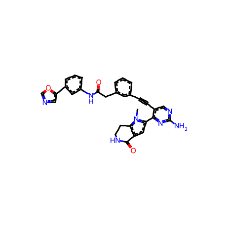 Cn1c(-c2nc(N)ncc2C#Cc2cccc(CC(=O)Nc3cccc(-c4cnco4)c3)c2)cc2c1CCNC2=O